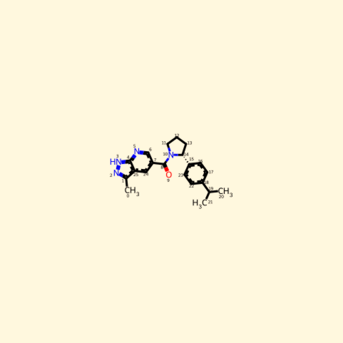 Cc1n[nH]c2ncc(C(=O)N3CCC[C@@H]3c3ccc(C(C)C)cc3)cc12